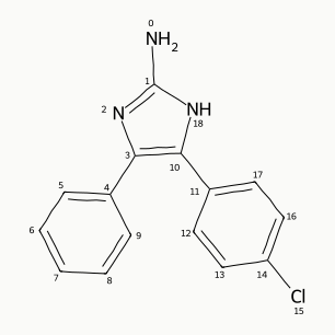 Nc1nc(-c2ccccc2)c(-c2ccc(Cl)cc2)[nH]1